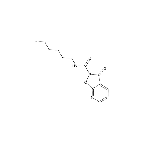 CCCCCCNC(=O)n1oc2ncccc2c1=O